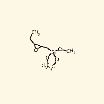 CCC1OC1C[Si](OC)(OC)OC